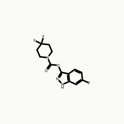 O=C(Oc1n[nH]c2cc(F)ccc12)N1CCC(F)(F)CC1